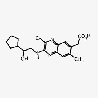 Cc1cc2nc(NCC(O)C3CCCC3)c(Cl)nc2cc1CC(=O)O